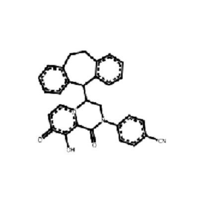 N#Cc1ccc(N2CC(C3c4ccccc4CCc4ccccc43)n3ccc(=O)c(O)c3C2=O)cc1